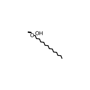 C=COC(O)CCCCCCCCCCCCC